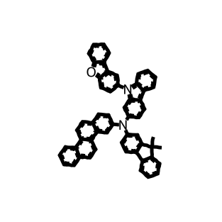 CC1(C)c2ccccc2-c2ccc(N(c3ccc4ccc5c6ccccc6ccc5c4c3)c3ccc4c5ccccc5n(-c5ccc6oc7ccccc7c6c5)c4c3)cc21